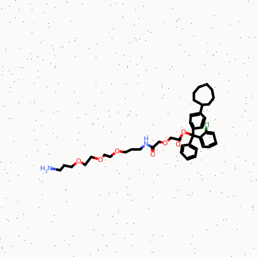 NCCCOCCOCCOCCCNC(=O)COCC(=O)OC(c1ccccc1)(c1ccc(C2CCCCCCC2)cc1)c1ccccc1Cl